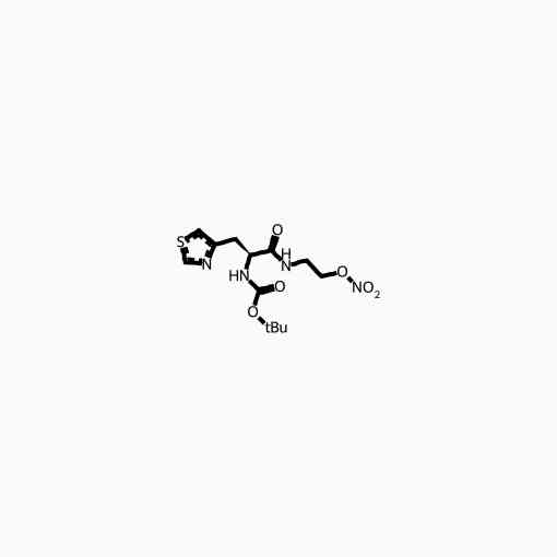 CC(C)(C)OC(=O)N[C@@H](Cc1cscn1)C(=O)NCCO[N+](=O)[O-]